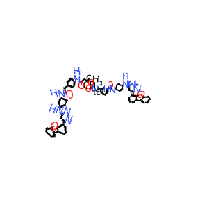 CC(C)(CC(=O)Nc1ccc(CC(=O)Nc2ccc(Nc3cc(-c4cccc5c4oc4ccccc45)ncn3)cc2)cc1)OC(=O)N(Cc1cccc(C(=O)Nc2ccc(Nc3cc(-c4cccc5c4oc4ccccc45)ncn3)cc2)c1)C(C)(C)C